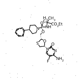 CCOC(=O)C(C)(C)NP(=O)(OC[C@@H]1O[C@H](n2cc(F)c(N)nc2=O)CS1)N1CCC(c2ccccc2)CC1